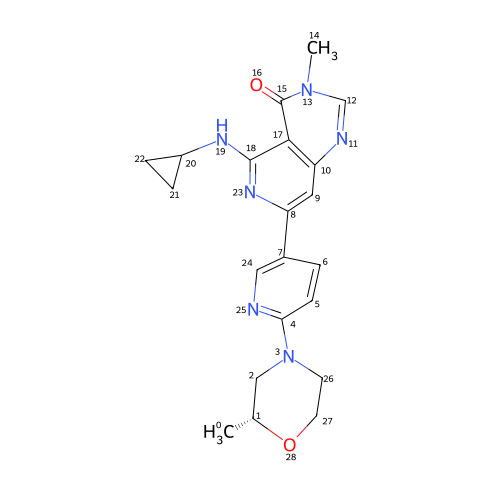 C[C@@H]1CN(c2ccc(-c3cc4ncn(C)c(=O)c4c(NC4CC4)n3)cn2)CCO1